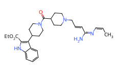 C\C=C/N=C(N)\C=C\CN1CCC(C(=O)N2CCC(c3c(C(=O)OCC)[nH]c4ccccc34)CC2)CC1